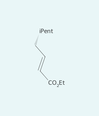 CCC[C@@H](C)C/C=C/C(=O)OCC